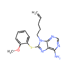 C=CCCCn1c(Sc2ccccc2OC)nc2c(N)ncnc21